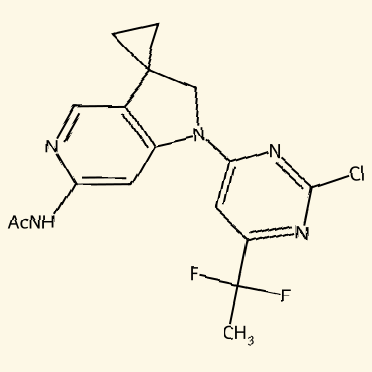 CC(=O)Nc1cc2c(cn1)C1(CC1)CN2c1cc(C(C)(F)F)nc(Cl)n1